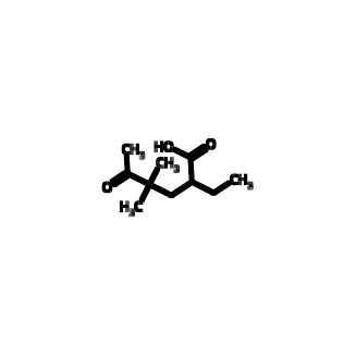 CCC(CC(C)(C)C(C)=O)C(=O)O